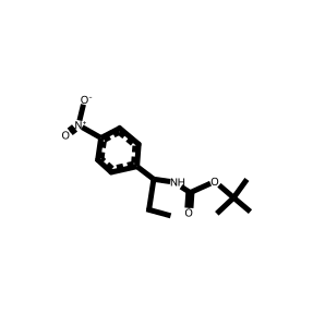 CCC(NC(=O)OC(C)(C)C)c1ccc([N+](=O)[O-])cc1